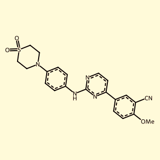 COc1ccc(-c2ccnc(Nc3ccc(N4CCS(=O)(=O)CC4)cc3)n2)cc1C#N